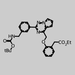 CCOC(=O)Cc1ccccc1OCc1nc(-c2cccc(CNC(=O)OC(C)(C)C)c2)nn2cccc12